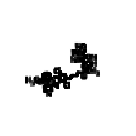 COc1ccccc1-c1ccncc1C1(NCc2cc(Cl)c(CCCCC(=O)N(C)CC(O)C(O)C(O)C(O)CO)cc2Cl)CC1